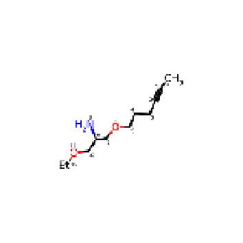 CC#CCCCOCC(N)COCC